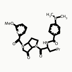 COc1cccc(C(=O)N2CC(=O)C3C2CCN3C(=O)C(CC(C)C)NC(=O)c2ccc(N(C)C)cc2)c1